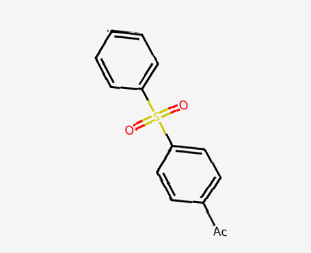 CC(=O)c1ccc(S(=O)(=O)c2cc[c]cc2)cc1